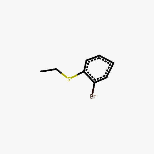 CCSc1ccc[c]c1Br